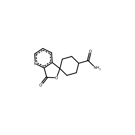 NC(=O)C1CCC2(CC1)OC(=O)c1ncccc12